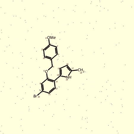 COc1ccc(COc2cc(Br)ccc2-c2ccc(C)[nH]2)cc1